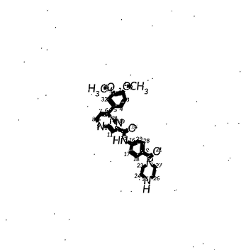 COc1ccc(-c2ccnc3cc(C(=O)Nc4ccc(C(=O)N5CCNCC5)cc4)nn23)cc1OC